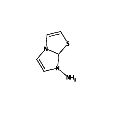 NN1C=CN2C=CSC12